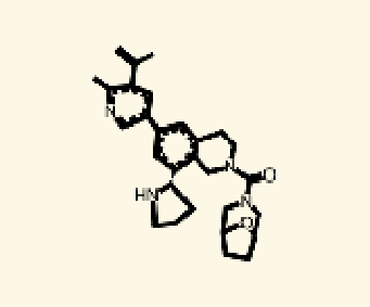 C=C(C)c1cc(-c2cc3c(c([C@@H]4CCCN4)c2)CN(C(=O)N2CC4CCC(C2)O4)CC3)cnc1C